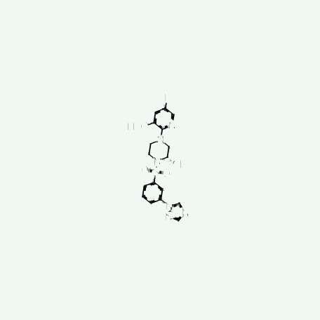 Cc1cc(F)cnc1N1CCN(S(=O)(=O)c2cccc(-n3cncn3)c2)[C@H](C)C1